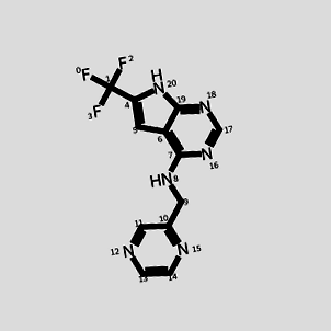 FC(F)(F)c1cc2c(NCc3cnccn3)ncnc2[nH]1